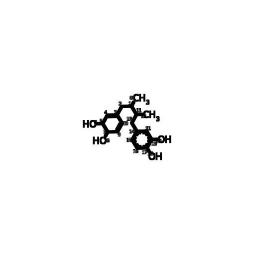 CC(CC1=CC(O)C(O)C=C1)C(C)Cc1ccc(O)c(O)c1